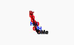 COc1ccc(CNC(=O)CSc2nc(=O)[nH]c(COCCOCCOCCOCCBr)c2C)cc1